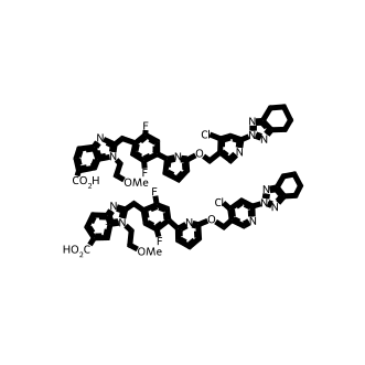 COCCn1c(Cc2cc(F)c(-c3cccc(OCc4cnc(-n5nc6c(n5)CCCC6)cc4Cl)n3)cc2F)nc2ccc(C(=O)O)cc21.COCCn1c(Cc2cc(F)c(-c3cccc(OCc4cnc(-n5nc6c(n5)CCCC6)cc4Cl)n3)cc2F)nc2ccc(C(=O)O)cc21